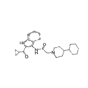 O=C(CN1CCC(C2CCCCC2)CC1)Nc1c(C(=O)C2CC2)[nH]c2ccccc12